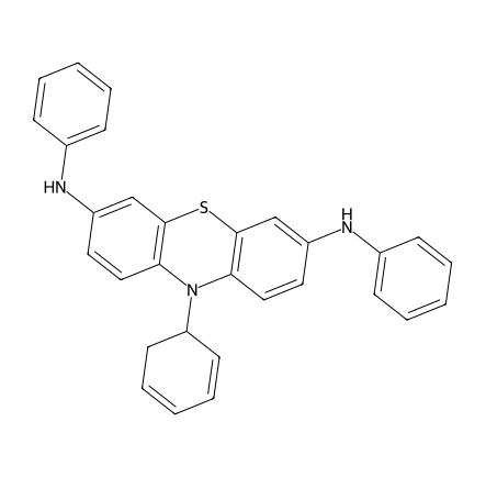 C1=CCC(N2c3ccc(Nc4ccccc4)cc3Sc3cc(Nc4ccccc4)ccc32)C=C1